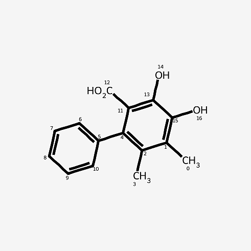 Cc1c(C)c(-c2ccccc2)c(C(=O)O)c(O)c1O